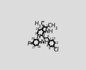 Cc1[nH]c2c(C(Cc3ccc(Cl)cc3)Nc3ccc(F)cc3)nccc2c1C